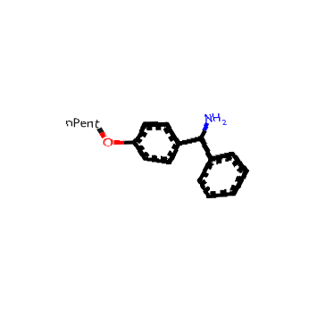 CCCCCOc1ccc(C(N)c2ccccc2)cc1